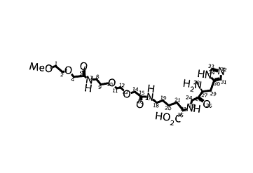 COCCOCC(=O)NCCOCCOCC(=O)NCCCC[C@H](NCC(=O)[C@@H](N)Cc1cnc[nH]1)C(=O)O